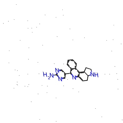 Nc1ncc(-c2nc3c(c4ccccc24)=C2CCNC2CC=3)cn1